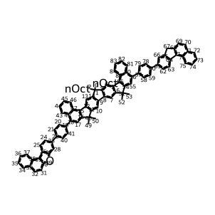 CCCCCCCCC1(CCCCCCCC)c2cc3c(cc2-c2cc4c(cc21)-c1c(cc(-c2ccc(-c5ccc6c(c5)oc5ccc7ccccc7c56)cc2)c2ccccc12)C4(C)C)C(C)(C)c1cc(-c2ccc(-c4ccc5c(c4)Cc4ccc6ccccc6c4-5)cc2)c2ccccc2c1-3